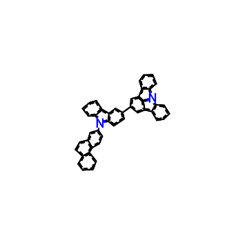 c1ccc2c(c1)ccc1cc(-n3c4ccccc4c4cc(-c5cc6c7ccccc7n7c8ccccc8c(c5)c67)ccc43)ccc12